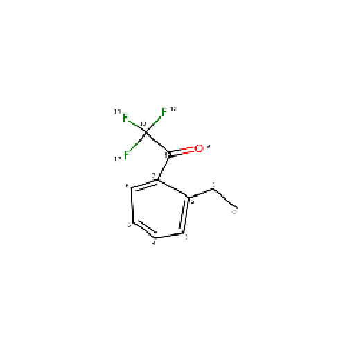 CCc1ccccc1C(=O)C(F)(F)F